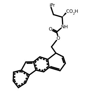 CC(C)C[C@H](NC(=O)OCC1C=CC=c2cc3c(cc21)=Cc1ccccc1-3)C(=O)O